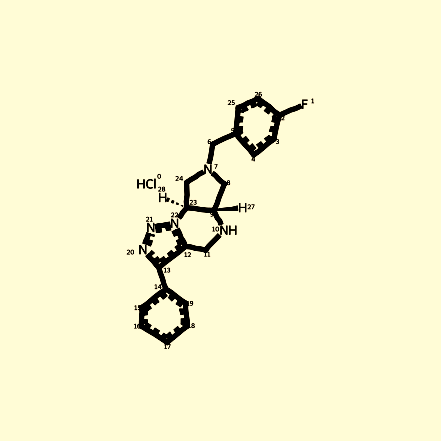 Cl.Fc1ccc(CN2C[C@@H]3NCc4c(-c5ccccc5)nnn4[C@H]3C2)cc1